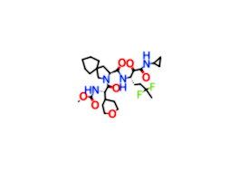 COC(=O)N[C@H](C(=O)N1CC2(CCCCC2)C[C@H]1C(=O)N[C@@H](CCC(C)(F)F)C(=O)C(=O)NC1CC1)C1CCOCC1